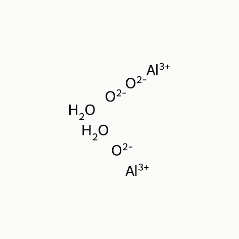 O.O.[Al+3].[Al+3].[O-2].[O-2].[O-2]